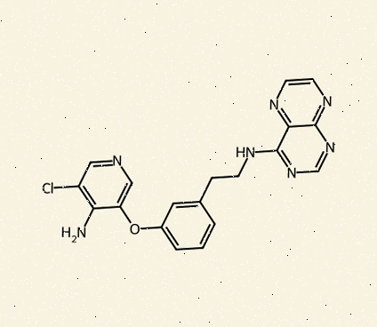 Nc1c(Cl)cncc1Oc1cccc(CCNc2ncnc3nccnc23)c1